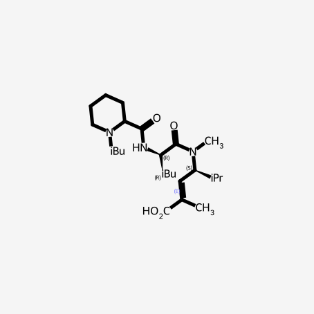 CCC(C)N1CCCCC1C(=O)N[C@@H](C(=O)N(C)[C@H](/C=C(\C)C(=O)O)C(C)C)[C@H](C)CC